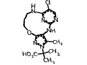 Cc1c2c(nn1C(C)(C)C(=O)O)OCCCNc1nc(ncc1Cl)N2